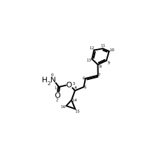 NC(=O)OC(CC=Cc1ccccc1)C1CC1